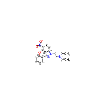 CCN(CC)CCn1nc2c3c(c([N+](=O)[O-])ccc31)Oc1ccccc1-2